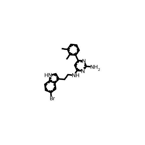 Cc1cccc(-c2cc(NCCc3c[nH]c4ccc(Br)cc34)nc(N)n2)c1C